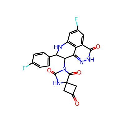 O=C1CC2(C1)NC(=O)N(C1c3n[nH]c(=O)c4cc(F)cc(c34)NC1c1ccc(F)cc1)C2=O